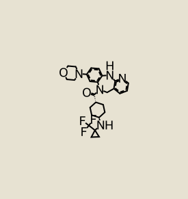 O=C([C@H]1CC[C@H](NC2(C(F)(F)F)CC2)CC1)N1Cc2cccnc2Nc2ccc(N3CCOCC3)cc21